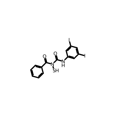 O=C(Nc1cc(I)cc(I)c1)N(S)C(=O)c1ccccc1